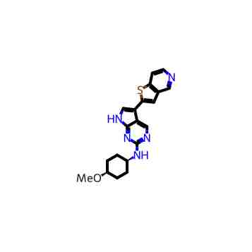 CO[C@H]1CC[C@@H](Nc2ncc3c(-c4cc5cnccc5s4)c[nH]c3n2)CC1